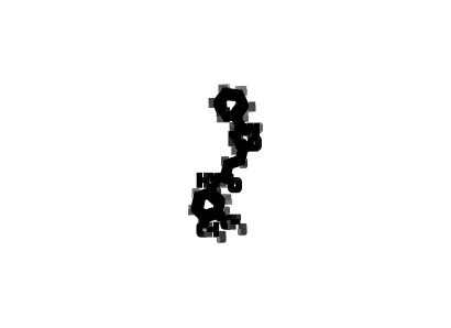 Cc1ccc(NC(=O)CCc2nc(-c3ccccn3)no2)cc1C(F)(F)F